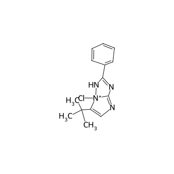 CC(C)(C)C1=CN=C2N=C(c3ccccc3)N[N+]12Cl